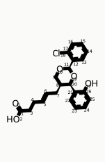 O=C(O)CC/C=C/C[C@H]1CO[C@@H](c2ccccc2Cl)O[C@H]1c1ccccc1O